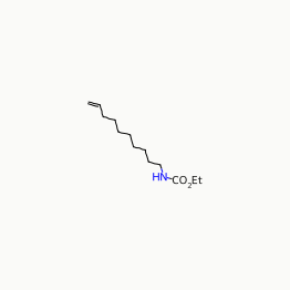 C=CCCCCCCCCNC(=O)OCC